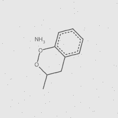 CC1Cc2ccccc2OO1.N